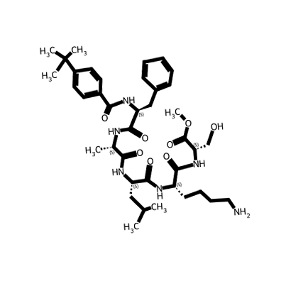 COC(=O)[C@H](CO)NC(=O)[C@H](CCCCN)NC(=O)[C@H](CC(C)C)NC(=O)[C@H](C)NC(=O)[C@H](Cc1ccccc1)NC(=O)c1ccc(C(C)(C)C)cc1